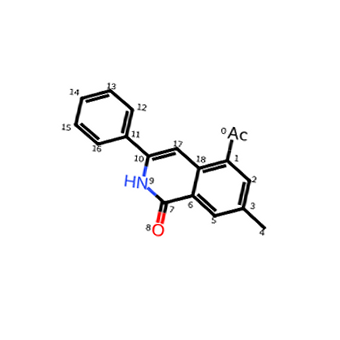 CC(=O)c1cc(C)cc2c(=O)[nH]c(-c3ccccc3)cc12